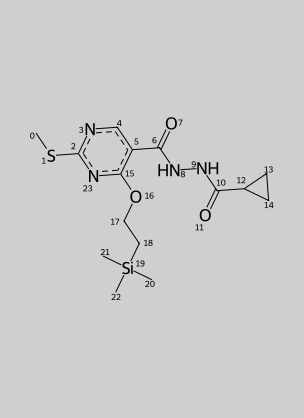 CSc1ncc(C(=O)NNC(=O)C2CC2)c(OCC[Si](C)(C)C)n1